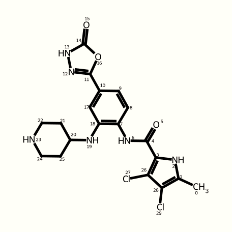 Cc1[nH]c(C(=O)Nc2ccc(-c3n[nH]c(=O)o3)cc2NC2CCNCC2)c(Cl)c1Cl